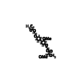 C=CC(=O)OCCOc1ccc(-c2ccc(OCCOC(=O)C(=C)COC)cc2OC)cc1